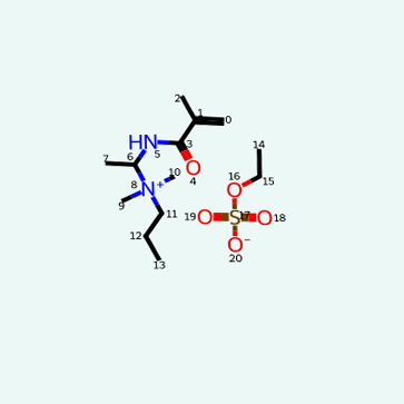 C=C(C)C(=O)NC(C)[N+](C)(C)CCC.CCOS(=O)(=O)[O-]